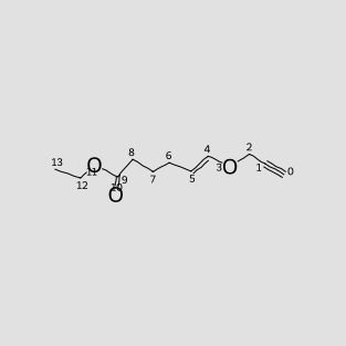 C#CCOC=CCCCC(=O)OCC